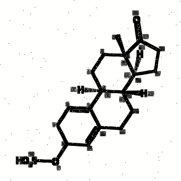 C[C@]12CC[C@@H]3C4=CCC(OS(=O)(=O)O)C=C4CC[C@H]3[C@@H]1CCC2=O